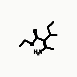 CCOC(=O)C(=C(C)N)C(C)CC